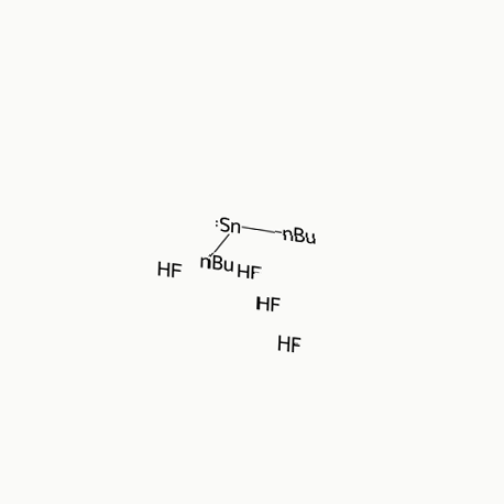 CCC[CH2][Sn][CH2]CCC.F.F.F.F